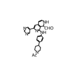 CC(=O)N1CCC(c2ccc(Nc3nc(-c4cncnc4)cc4c3C(C=O)NC=C4)cc2)CC1